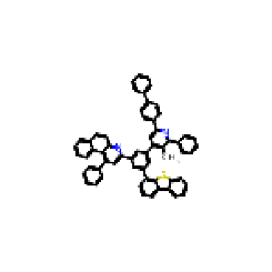 Cc1c(-c2cc(-c3cc(-c4ccccc4)c4c(ccc5ccccc54)n3)cc(-c3cccc4c3sc3ccccc34)c2)cc(-c2ccc(-c3ccccc3)cc2)nc1-c1ccccc1